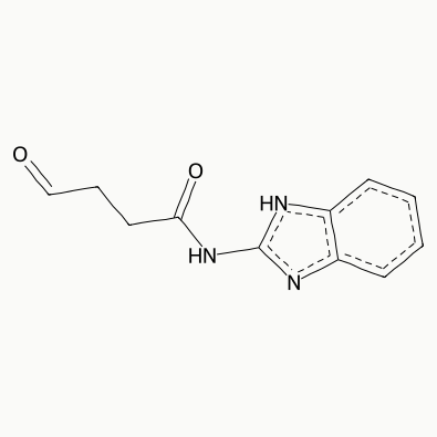 O=CCCC(=O)Nc1nc2ccccc2[nH]1